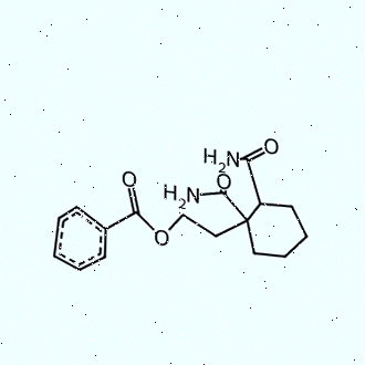 NC(=O)C1CCCCC1(CCOC(=O)c1ccccc1)C(N)=O